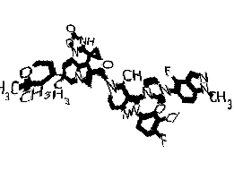 C[C@H]1c2c(nn(-c3ccc(F)c(Cl)c3)c2-n2ccn(-c3ccc4c(cnn4C)c3F)c2=O)CCN1C(=O)c1cn2c(c1C1(c3noc(=O)[nH]3)CC1)C=CC(C)([C@@H]1CCOC(C)(C)C1)C2